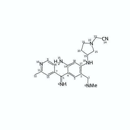 CNCc1cc(C(=N)c2ccnc(C)c2)c(N)cc1NC1CCN(CC#N)C1